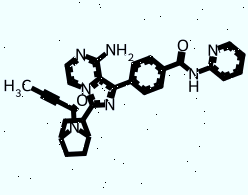 CC#CC(=O)N1C2CCC1C(c1nc(-c3ccc(C(=O)Nc4ccccn4)cc3)c3c(N)nccn13)C2